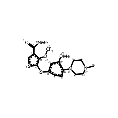 CNC(=O)c1csc(Sc2ccc(N3CCN(C)CC3)c(OC)c2)c1OC(F)(F)F